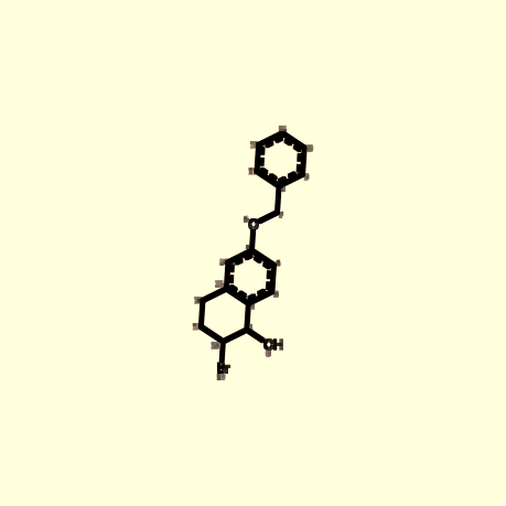 OC1c2ccc(OCc3ccccc3)cc2CCC1Br